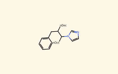 CCCCCCCCCCC(Cc1ccccc1)C(CCCCCCCC)n1ccnc1